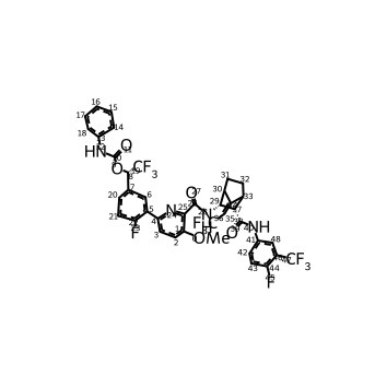 COc1ccc(-c2cc([C@H](OC(=O)Nc3ccccc3)C(F)(F)F)ccc2F)nc1C(=O)N[C@@H]1C2CCC(/C2=C/C(F)(F)F)[C@@H]1C(=O)Nc1ccc(F)c(C(F)(F)F)c1